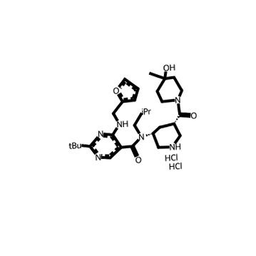 CC(C)CN(C(=O)c1cnc(C(C)(C)C)nc1NCc1ccco1)[C@H]1CNC[C@@H](C(=O)N2CCC(C)(O)CC2)C1.Cl.Cl